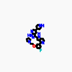 Fc1cc(OCCN2CCCC2)cc(-c2nccc3[nH]c(-c4n[nH]c5ncc(C6=CCNCC6)cc45)cc23)c1